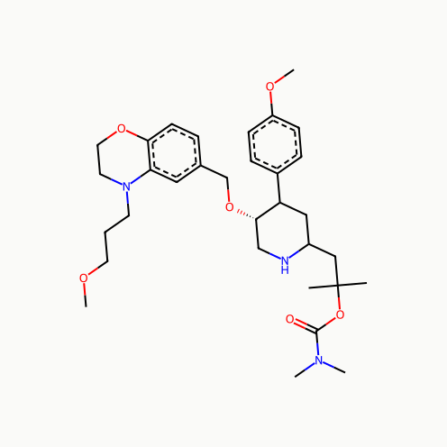 COCCCN1CCOc2ccc(CO[C@H]3CNC(CC(C)(C)OC(=O)N(C)C)CC3c3ccc(OC)cc3)cc21